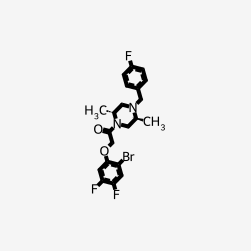 C[C@@H]1CN(Cc2ccc(F)cc2)[C@@H](C)CN1C(=O)COc1cc(F)c(F)cc1Br